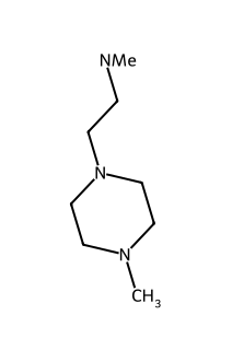 [CH2-][NH2+]CCN1CCN(C)CC1